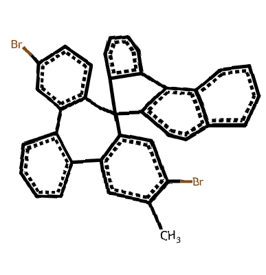 Cc1cc2c(cc1Br)C1(c3ccc(Br)cc3-c3ccccc3-2)c2ccccc2-c2c1ccc1ccccc21